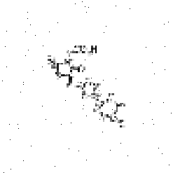 O=C(O)CN1C(=O)/C(=C\c2ccc(-c3ccc(Cl)cc3)o2)SC1=S